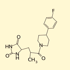 CC(CC1NC(=O)NC1=O)C(=O)N1CCC(c2ccc(F)cc2)CC1